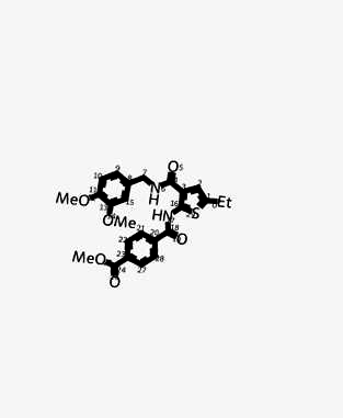 CCc1cc(C(=O)NCc2ccc(OC)c(OC)c2)c(NC(=O)c2ccc(C(=O)OC)cc2)s1